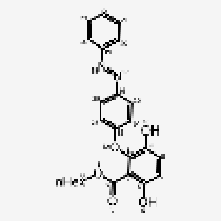 CCCCCCOC(=O)c1c(O)ccc(O)c1Oc1ccc(N=Nc2ccccc2)cc1